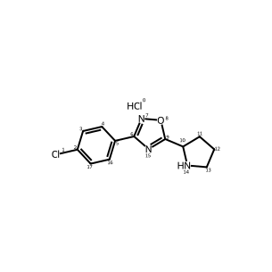 Cl.Clc1ccc(-c2noc(C3CCCN3)n2)cc1